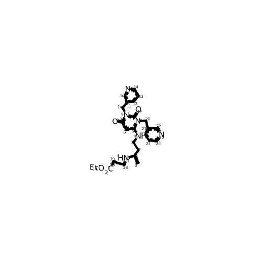 C=C(CCNc1cc(=O)n(Cc2cccnc2)c(=O)n1Cc1cccnc1)NCCC(=O)OCC